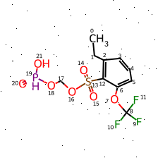 CCc1cccc(OC(F)(F)F)c1S(=O)(=O)OCO[PH](=O)O